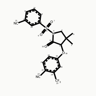 CC1(C)CN(S(=O)(=O)c2cccc(C#N)c2)C(=O)C1Oc1ccc(C#N)c(C(F)(F)F)c1